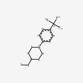 CCC1CCN(c2ccc(C(F)(F)F)cc2)CC1